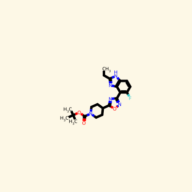 CCc1nc2c(-c3noc(C4CCN(C(=O)OC(C)(C)C)CC4)n3)c(F)ccc2[nH]1